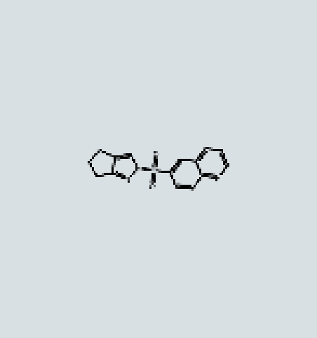 O=S(=O)(c1ccc2ncccc2c1)n1cc2c(n1)CCC2